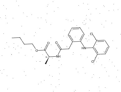 CCCCOC(=O)[C@H](C)NC(=O)Cc1ccccc1Nc1c(Cl)cccc1Cl